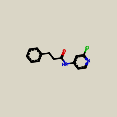 O=C(CCc1ccccc1)Nc1ccnc(Cl)c1